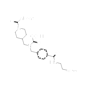 CCCCCCCCCCCCNC(=O)c1ccc(CN(CC2CCN(C(=O)CCCCC)CC2)C(=O)C(=O)O)cc1